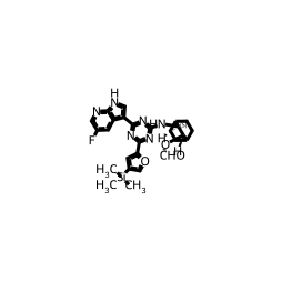 C[Si](C)(C)c1coc(-c2nc(N[C@H]3C4CCC(CC4)[C@@H]3OC=O)nc(-c3c[nH]c4ncc(F)cc34)n2)c1